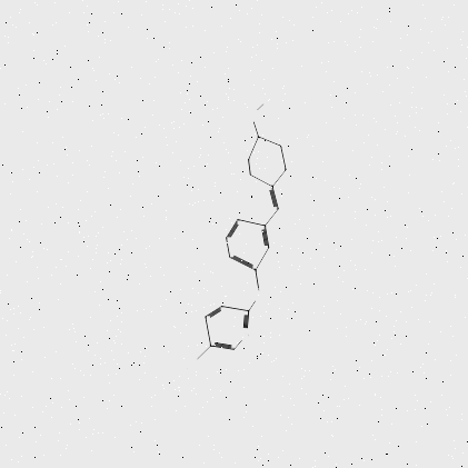 O=COC1CCC(=Cc2cccc(Oc3ccc(C(F)(F)F)cn3)c2)CC1